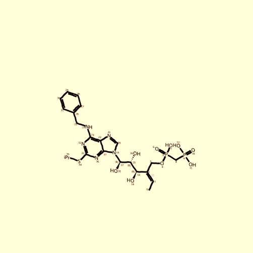 C/C=C(/COP(=O)(O)CP(=O)(O)O)[C@@H](O)[C@@H](O)[C@@H](O)n1cnc2c(NCc3ccccc3)nc(SC(C)C)nc21